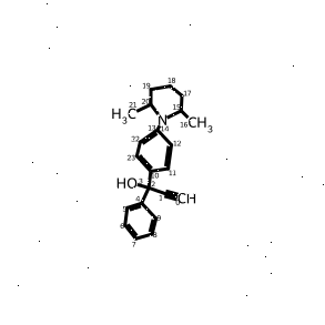 C#CC(O)(c1ccccc1)c1ccc(N2C(C)CCCC2C)cc1